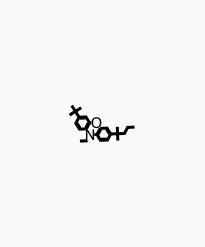 CCCC(C)(C)c1ccc2c(c1)Oc1cc(C(C)(C)C)ccc1N2CC